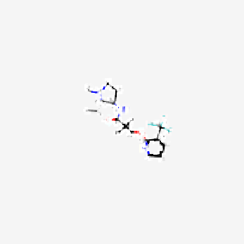 CC[C@H]1[C@H](NC(=O)C(C)(C)COc2ncccc2C(F)(F)F)CCN1C